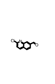 O=Cc1ccc2ccc(Cl)nc2c1